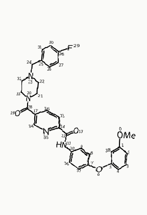 COc1cccc(Oc2ccc(NC(=O)c3ccc(C(=O)N4CCN(Cc5ccc(F)cc5)CC4)cn3)cc2)c1